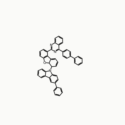 C1=CC(n2c3ccccc3c3cc(-c4ccccc4)ccc32)C2Oc3cccc(-c4nc(-c5ccc(-c6ccccc6)cc5)c5ccccc5n4)c3C2=C1